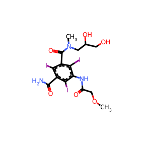 COCC(=O)Nc1c(I)c(C(N)=O)c(I)c(C(=O)N(C)CC(O)CO)c1I